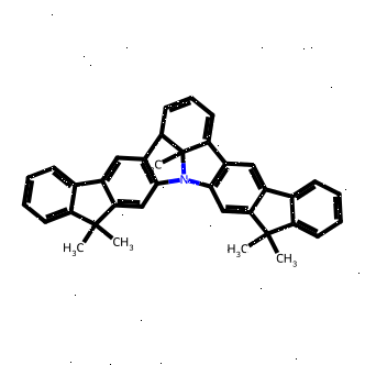 CC1(C)c2ccccc2-c2cc3c(cc21)N1c2cc4c(cc2C2C=CC=C3C21C)-c1ccccc1C4(C)C